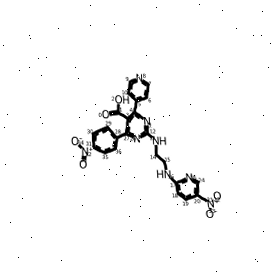 O=C(O)c1c(-c2ccncc2)nc(NCCNc2ccc([N+](=O)[O-])cn2)nc1-c1ccc([N+](=O)[O-])cc1